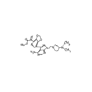 CN(C)C1CCN(CCn2nc(-c3cnc(NC(=O)OC(C)(C)C)c4c3OCO4)c3c(N)ncnc32)CC1